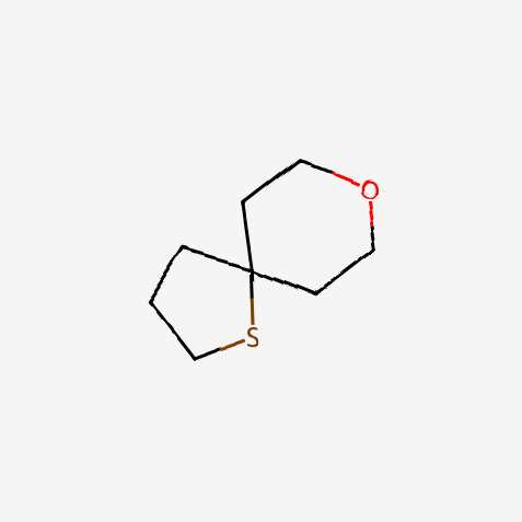 C1CSC2(C1)CCOCC2